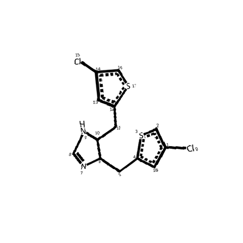 Clc1csc(CC2N=CNC2Cc2cc(Cl)cs2)c1